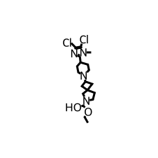 CCOC(O)N1CCC2(CC(N3CCC(c4nc(Cl)c(Cl)n4C)CC3)C2)C1